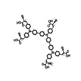 [C-]#[N+]/C(=C\c1ccc(N(c2ccc(/C=C(\C#N)C(=O)O)cc2)c2ccc(-c3ccc(N(c4ccc(/C=C(/C#N)C(=O)O)cc4)c4ccc(-c5ccc(N(c6ccc(/C=C(/C#N)C(=O)O)cc6)c6ccc(/C=C(\C#N)C(=O)O)cc6)cc5)cc4)cc3)cc2)cc1)C(=O)O